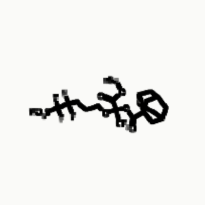 CCCCOC(=O)C(OCCCC(F)(F)C(F)(F)S(=O)(=O)O)(OC(=O)C12CC3CC(CC(C3)C1)C2)C(F)(F)F